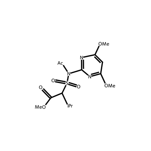 COC(=O)C(C(C)C)S(=O)(=O)N(C(C)=O)c1nc(OC)cc(OC)n1